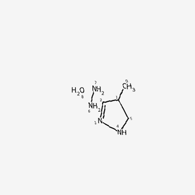 CC1C=NNC1.NN.O